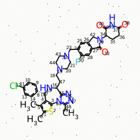 Cc1sc2c(c1C)[C@H](c1ccc(Cl)cc1)NC(CCN1CCN(Cc3cc4c(cc3F)C(=O)N(C3CCC(=O)NC3=O)C4)CC1)c1nnc(C)n1-2